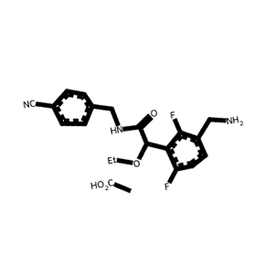 CC(=O)O.CCOC(C(=O)NCc1ccc(C#N)cc1)c1c(F)ccc(CN)c1F